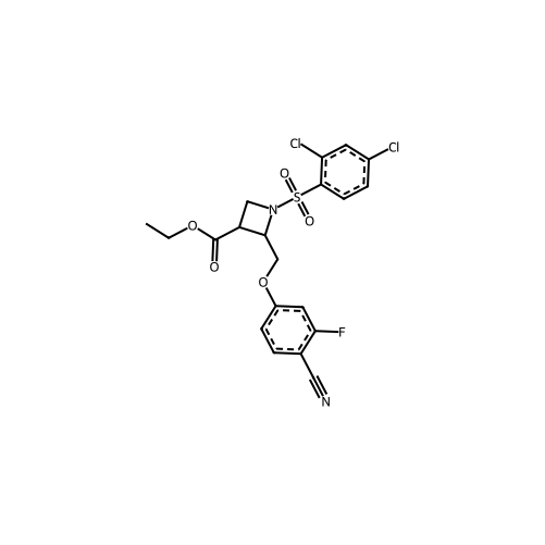 CCOC(=O)C1CN(S(=O)(=O)c2ccc(Cl)cc2Cl)C1COc1ccc(C#N)c(F)c1